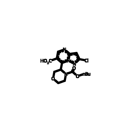 CCCCOC(=O)N1CCOCC1c1c(C(=O)O)cnc2cc(Cl)nn12